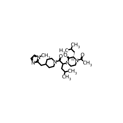 CC(=O)N1CCN(C(CC(C)C)C(=O)N2CCC(Cc3nccn3C)CC2)C(=O)[C@@H]1CC(C)C